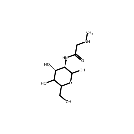 CNCC(=O)N[C@H]1C(O)OC(CO)C(O)[C@@H]1O